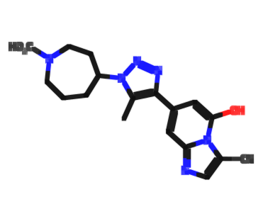 Cc1c(-c2cc(O)n3c(C#N)cnc3c2)nnn1C1CCCN(C(=O)O)CC1